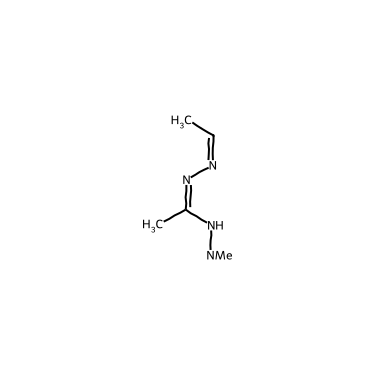 C/C=N\N=C(\C)NNC